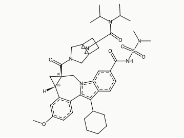 COc1ccc2c(c1)[C@@H]1C[C@]1(C(=O)N1CC34CCC3(CN(C(=O)N(C(C)C)C(C)C)C4)C1)Cn1c-2c(C2CCCCC2)c2ccc(C(=O)NS(=O)(=O)N(C)C)cc21